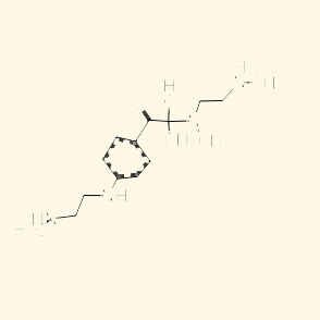 CNCCNc1ccc(C(=O)C(C)(C)N(C)CCNC)cc1